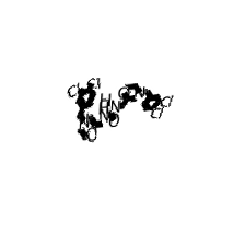 O=C(NCC1CN(Cc2ccc(Cl)c(Cl)c2)CCO1)NCC1CN(Cc2ccc(Cl)c(Cl)c2)CCO1